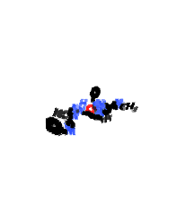 CCC[C@@H](CCCNc1ncc(C#N)c(-c2cnn(Cc3ccccc3)c2)n1)N(C(=O)NCc1ccccc1)c1ccc(-c2cnn(C)c2)cn1